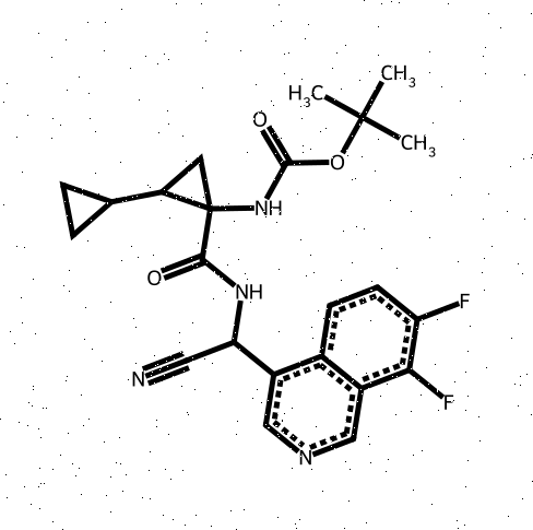 CC(C)(C)OC(=O)NC1(C(=O)NC(C#N)c2cncc3c(F)c(F)ccc23)CC1C1CC1